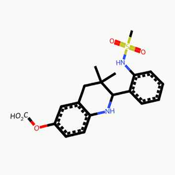 CC1(C)Cc2cc(OC(=O)O)ccc2NC1c1ccccc1NS(C)(=O)=O